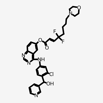 O=C(C=CC(F)(F)CCCCN1CCOCC1)Oc1ccc2ncnc(Nc3ccc(C(O)c4cccnc4)c(Cl)c3)c2c1